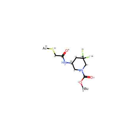 CCCCOC(=O)N1C[C@@H](NC(=O)CSC(C)=O)CC(F)(F)C1